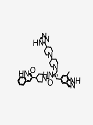 Cc1cc(C[C@H](CN2CCC(N3CCC(c4nnc[nH]4)CC3)CC2)NC(=O)N2CCC(c3cc4ccccc4[nH]c3=O)CC2)cc2cn[nH]c12